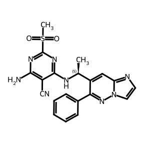 C[C@H](Nc1nc(S(C)(=O)=O)nc(N)c1C#N)c1cc2nccn2nc1-c1ccccc1